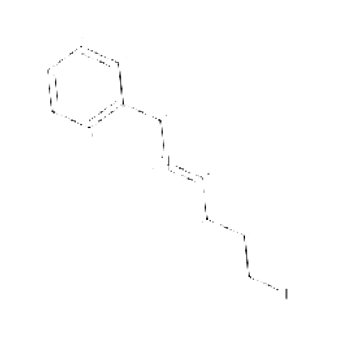 ICCCC=NCc1ccccc1